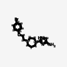 Nc1n[nH]c(N2CCCN(CCOc3ccc(Br)cc3)CC2)n1